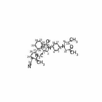 C/C(=C/N(C)c1ccc(N2CC(C)OC(C)C2)cc1)c1c(C=O)cccc1-c1ccc(C#N)c(C)c1